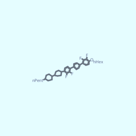 CCCCCCOc1ccc(-c2ccc(-c3ccc(C4CCC(C5CCC(CCCCC)CC5)CC4)c(F)c3F)cc2)c(F)c1F